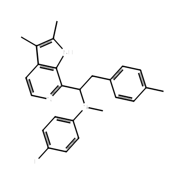 Cc1ccc(CC(c2nccc3c(C)c(C)[nH]c23)N(C)c2ccc(F)cc2)cc1